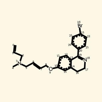 C=CCN(C)C/C=C/COc1ccc2c(c1)CCN=C2c1ccc(Br)cc1